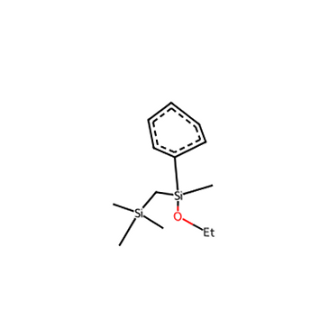 CCO[Si](C)(C[Si](C)(C)C)c1ccccc1